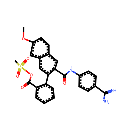 COc1ccc2cc(C(=O)Nc3ccc(C(=N)N)cc3)c(-c3ccccc3C(=O)OS(C)(=O)=O)cc2c1